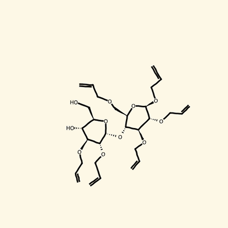 C=CCOC[C@H]1O[C@@H](OCC=C)[C@H](OCC=C)[C@@H](OCC=C)[C@@H]1O[C@H]1O[C@H](CO)[C@@H](O)[C@H](OCC=C)[C@H]1OCC=C